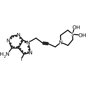 Nc1ncnc2c1c(I)nn2CC#CCN1CCS(O)(O)CC1